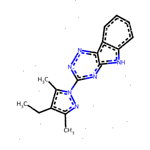 CCc1c(C)nn(-c2nnc3c(n2)[nH]c2ccccc23)c1C